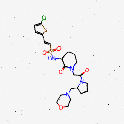 O=C1[C@@H](NS(=O)(=O)/C=C/c2ccc(Cl)s2)CCCN1CC(=O)N1CCC[C@H]1CN1CCOCC1